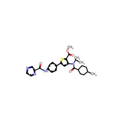 COC(=O)c1sc(-c2ccc(NC(=O)c3cnccn3)cc2)cc1N(C(=O)C1CCC(C)CC1)C(C)C